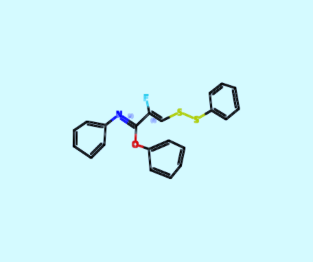 FC(=C\SSc1ccccc1)/C(=N/c1ccccc1)Oc1ccccc1